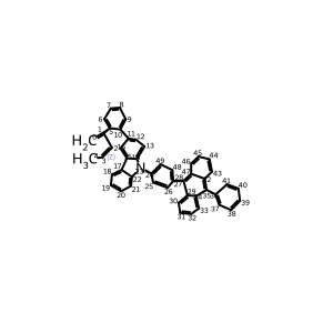 C=C(/C=C\C)c1ccccc1-c1ccc2c(c1)c1ccccc1n2-c1ccc(-c2c3ccccc3c(-c3ccccc3)c3ccccc23)cc1